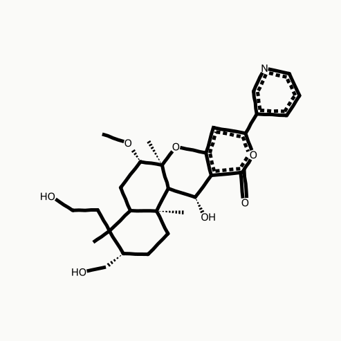 CO[C@H]1CC2C(C)(CCO)[C@@H](CO)CC[C@]2(C)C2[C@@H](O)c3c(cc(-c4cccnc4)oc3=O)O[C@@]21C